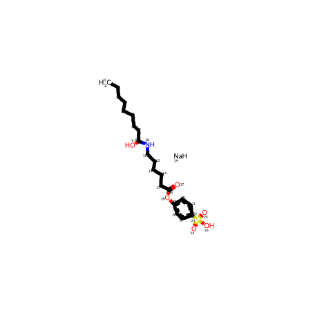 CCCCCCCCC(O)NCCCCCC(=O)Oc1ccc(S(=O)(=O)O)cc1.[NaH]